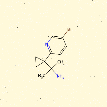 CC(C)(N)C1(c2ccc(Br)cn2)CC1